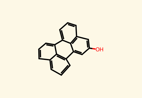 Oc1cc2cccc3c4cccc5cccc(c(c1)c23)c54